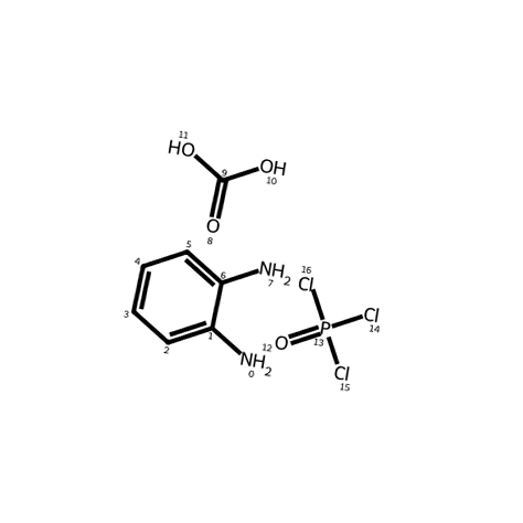 Nc1ccccc1N.O=C(O)O.O=P(Cl)(Cl)Cl